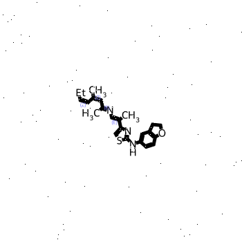 CC\C=C/C(C)=C\C(C)=N\C=C(/C)c1csc(Nc2ccc3c(c2)CCO3)n1